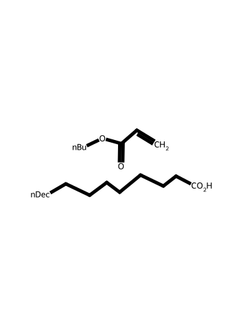 C=CC(=O)OCCCC.CCCCCCCCCCCCCCCCCC(=O)O